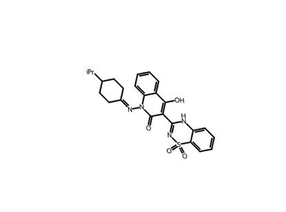 CC(C)C1CCC(=Nn2c(=O)c(C3=NS(=O)(=O)c4ccccc4N3)c(O)c3ccccc32)CC1